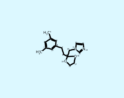 Cc1cc(C)cc(CCC2(Cn3ccnc3)OCCO2)c1